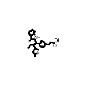 CC/C(=C(/c1ccc(/C=C/C(=O)O)cc1)c1[nH]c2ccccc2c1Cl)c1csc(C)c1